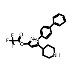 O=C(Oc1cc(C2CCNCC2)n(-c2ccc(-c3ccccc3)cc2)n1)C(F)(F)F